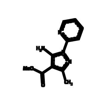 COC(=O)c1c(C)nn(-c2ccccn2)c1N